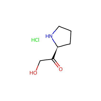 Cl.O=C(CO)[C@@H]1CCCN1